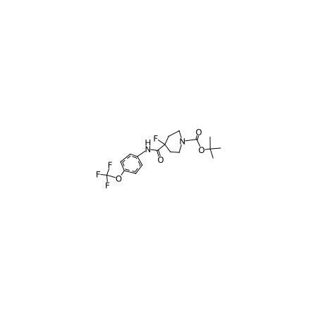 CC(C)(C)OC(=O)N1CCC(F)(C(=O)Nc2ccc(OC(F)(F)F)cc2)CC1